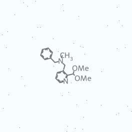 COC(OC)c1ncccc1CN(C)Cc1ccccc1